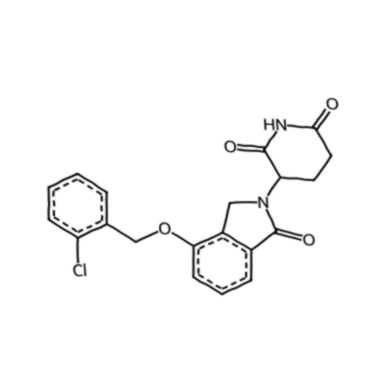 O=C1CCC(N2Cc3c(OCc4ccccc4Cl)cccc3C2=O)C(=O)N1